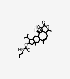 C=C1C2CC3C(C(C)C)C(OC(=O)NCCC)CC3(C)CC2C(C)=CCC2C(C)OC(=O)C(O)C12O